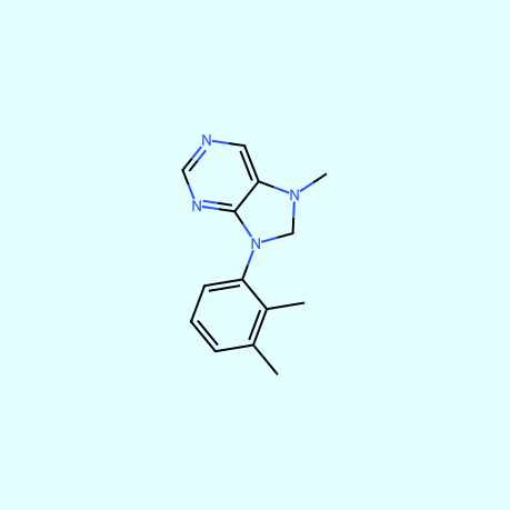 Cc1cccc(N2CN(C)c3cncnc32)c1C